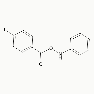 O=C(ONc1ccccc1)c1ccc(I)cc1